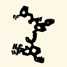 COc1ccc(C=CC(=O)c2ccc(OC)c3c2OC(C)(C)C=C3)cc1NC(=O)Cc1cccc(C(F)(F)F)c1